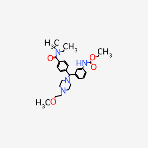 CCOC(=O)Nc1cccc(C(c2ccc(C(=O)N(CC)CC)cc2)N2CCN(CCOC)CC2)c1